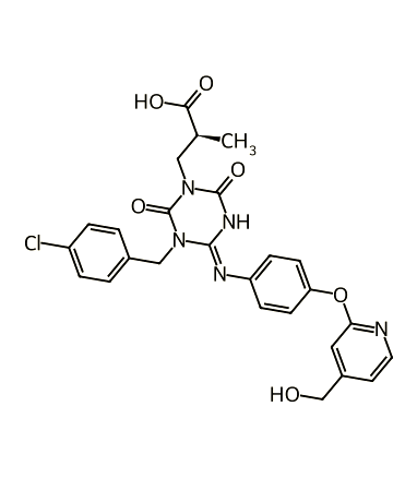 C[C@@H](Cn1c(=O)[nH]/c(=N\c2ccc(Oc3cc(CO)ccn3)cc2)n(Cc2ccc(Cl)cc2)c1=O)C(=O)O